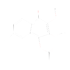 CCCC(=O)Oc1c(OC(C)C)c(OC(C)C)c(O)c2ccc(Cl)cc12